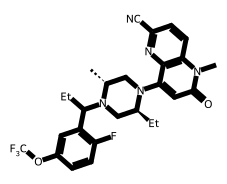 CCC(c1cc(OC(F)(F)F)ccc1F)N1C[C@H](CC)N(c2cc(=O)n(C)c3ccc(C#N)nc23)C[C@H]1C